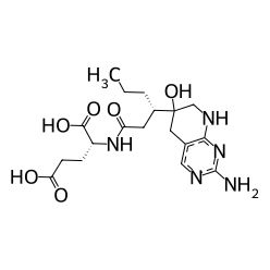 CCC[C@@H](CC(=O)N[C@H](CCC(=O)O)C(=O)O)C1(O)CNc2nc(N)ncc2C1